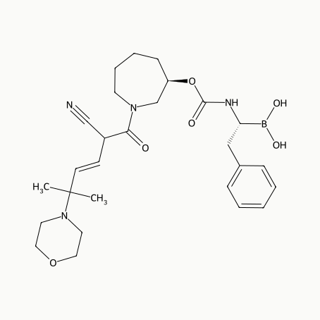 CC(C)(/C=C/C(C#N)C(=O)N1CCCC[C@@H](OC(=O)N[C@@H](Cc2ccccc2)B(O)O)C1)N1CCOCC1